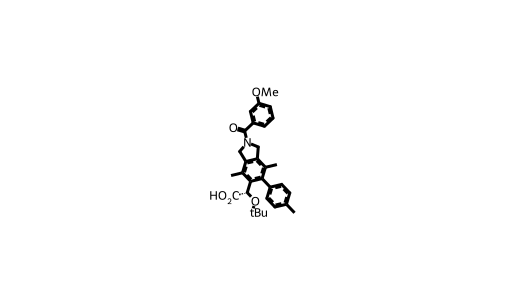 COc1cccc(C(=O)N2Cc3c(C)c(-c4ccc(C)cc4)c([C@H](OC(C)(C)C)C(=O)O)c(C)c3C2)c1